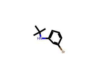 CC(C)(C)Nc1cccc(Br)c1